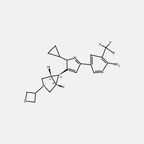 Nc1ncc(-c2cc([C@H]3[C@@H]4CN(C5COC5)C[C@@H]43)n(C3CC3)n2)cc1C(F)(F)F